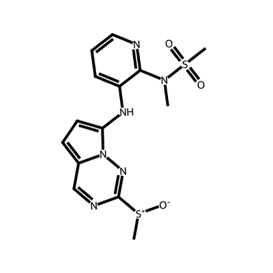 CN(c1ncccc1Nc1ccc2cnc([S+](C)[O-])nn12)S(C)(=O)=O